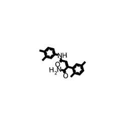 Cc1ccc(C)c(/C(=C/C(=O)Nc2ccc(C)c(C)c2)C(N)=O)c1